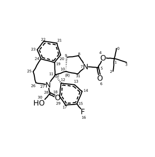 CC(C)(C)OC(=O)N1CC[C@@H]([C@]2(c3ccc(F)cc3)c3ccccc3CCN2C(=O)O)C1